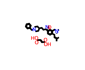 CC(C)=CCc1ccc2c(CCC3CCN(Cc4ccccc4)CC3)noc2c1CN(C)C.O=C(O)/C=C/C(=O)O